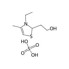 CCN1C(C)=CSC1CCO.O=S(=O)(O)O